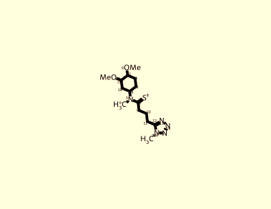 COC1CCC(N(C)C(=S)CCCc2nnnn2C)CC1OC